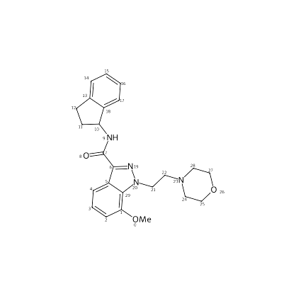 COc1cccc2c(C(=O)NC3CCc4ccccc43)nn(CCN3CCOCC3)c12